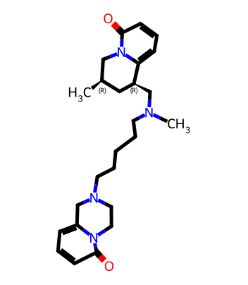 C[C@@H]1C[C@H](CN(C)CCCCCN2CCn3c(cccc3=O)C2)c2cccc(=O)n2C1